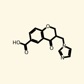 O=C(O)c1ccc2c(c1)C(=O)C(Cn1ccnc1)CO2